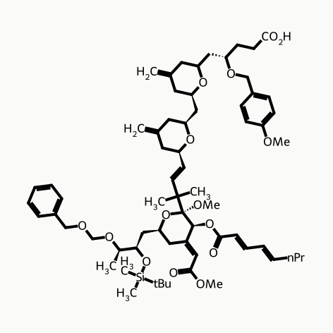 C=C1CC(C[C@H](CCC(=O)O)OCc2ccc(OC)cc2)O[C@@H](C[C@@H]2CC(=C)C[C@H](/C=C/C(C)(C)[C@]3(OC)O[C@H](C[C@@H](O[Si](C)(C)C(C)(C)C)[C@@H](C)OCOCc4ccccc4)C/C(=C\C(=O)OC)[C@@H]3OC(=O)/C=C/C=C/CCC)O2)C1